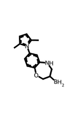 BC1CNc2cc(-n3c(C)ccc3C)ccc2OC1